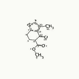 COC(=O)C1CCc2scc(C)c2C1=O